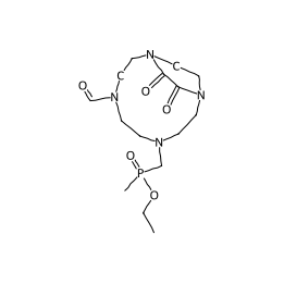 CCOP(C)(=O)CN1CCN(C=O)CCN2CCN(CC1)C(=O)C2=O